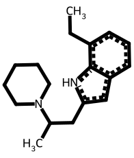 CCc1cccc2cc(CC(C)N3CCCCC3)[nH]c12